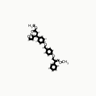 CON=C(COc1ccc(COc2ccc(C(CC(=O)OC)c3ccon3)cc2)cc1)c1ccccc1